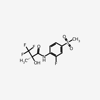 C[C@@](O)(C(=O)Nc1ccc(S(C)(=O)=O)cc1F)C(F)(F)F